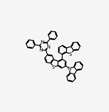 c1ccc(-c2nc(-c3ccccc3)nc(-c3ccc4sc5cc(-n6c7ccccc7c7ccccc76)cc(-c6cccc7c6sc6ccccc67)c5c4c3)n2)cc1